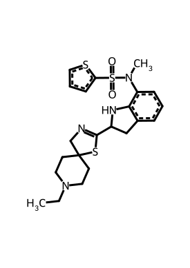 CCN1CCC2(CC1)CN=C(C1Cc3cccc(N(C)S(=O)(=O)c4cccs4)c3N1)S2